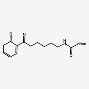 CCCCCCCCCC(=O)NCCCCCC(=O)C1=CC=CCC1=O